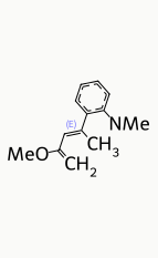 C=C(/C=C(\C)c1ccccc1NC)OC